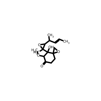 CC=CC(C)C1OC1(C)C1(O)C(OC)C(=O)CCC12CO2